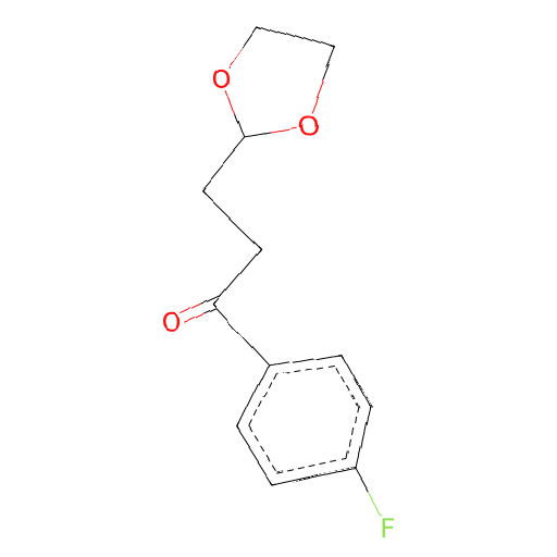 O=C(CCC1OCCO1)c1ccc(F)cc1